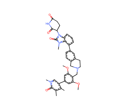 COc1cc(-c2cn(C)c(=O)c(C)c2C)cc(OC)c1CN1CCc2cc(-c3cccc4c3n(C)c(=O)n4C3CCC(=O)NC3=O)ccc2C1